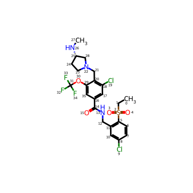 CCS(=O)(=O)c1ccc(Cl)cc1CNC(=O)c1cc(Cl)c(CN2CC[C@H](NC)C2)c(OC(F)(F)F)c1